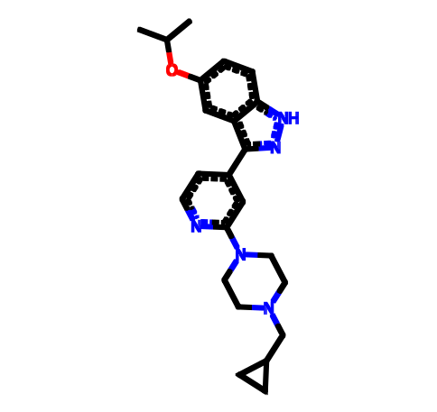 CC(C)Oc1ccc2[nH]nc(-c3ccnc(N4CCN(CC5CC5)CC4)c3)c2c1